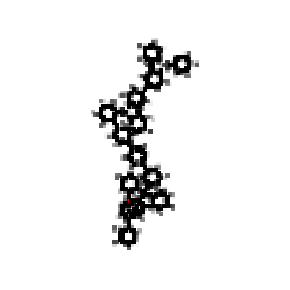 c1ccc(-c2ccc(-c3ccccc3C3(c4cccc(-c5ccc(-c6ccc(-c7ccccc7-n7c8ccccc8c8cc(-c9ccc%10c(c9)c9ccccc9n%10-c9ccccc9)ccc87)cc6)cc5)c4)c4ccccc4-c4ccccc43)cc2)cc1